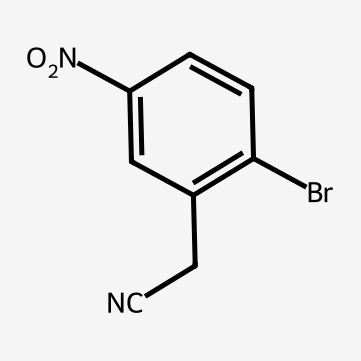 N#CCc1cc([N+](=O)[O-])ccc1Br